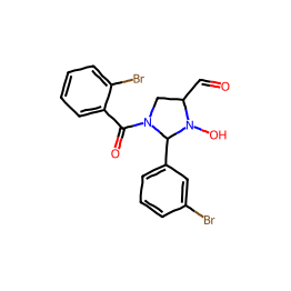 O=CC1CN(C(=O)c2ccccc2Br)C(c2cccc(Br)c2)N1O